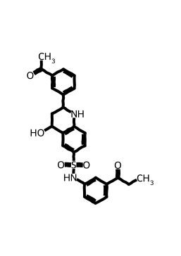 CCC(=O)c1cccc(NS(=O)(=O)c2ccc3c(c2)C(O)CC(c2cccc(C(C)=O)c2)N3)c1